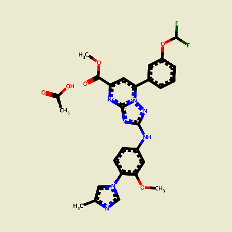 CC(=O)O.COC(=O)c1cc(-c2cccc(OC(F)F)c2)n2nc(Nc3ccc(-n4cnc(C)c4)c(OC)c3)nc2n1